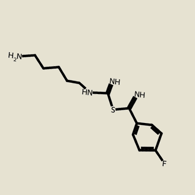 N=C(NCCCCCN)SC(=N)c1ccc(F)cc1